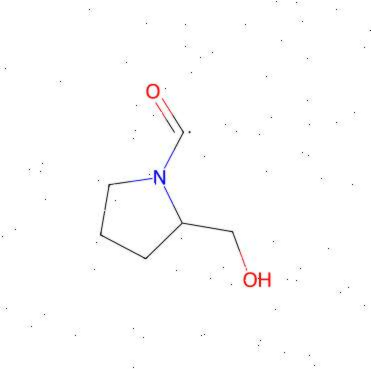 O=[C]N1CCCC1CO